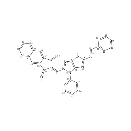 O=C1C(=Cc2nc3sc(/C=C/c4ccccc4)nc3n2-c2ccccc2)C(=O)c2cc3ccccc3cc21